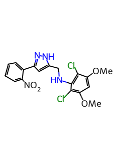 COc1cc(OC)c(Cl)c(NCc2cc(-c3ccccc3[N+](=O)[O-])n[nH]2)c1Cl